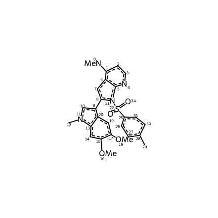 CNc1ccnc2c1cc(-c1cn(C)c3cc(OC)c(OC)cc13)n2S(=O)(=O)c1ccc(C)cc1